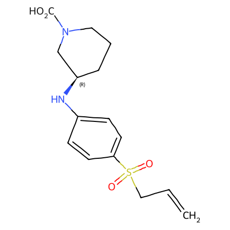 C=CCS(=O)(=O)c1ccc(N[C@@H]2CCCN(C(=O)O)C2)cc1